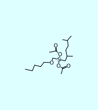 CCCCCOC[Si](CC(C)CCC(C)C)(OC(C)=O)OC(C)=O